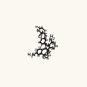 Cc1ccnc(Oc2ccc(-n3c(-c4ccc(N)cc4C4OCCO4)c(Br)c4ncnc(N)c43)cc2F)n1